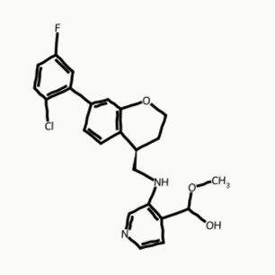 COC(O)c1ccncc1NC[C@@H]1CCOc2cc(-c3cc(F)ccc3Cl)ccc21